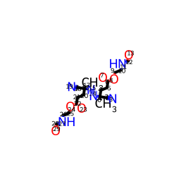 CC(C#N)(CCC(=O)OCCNC=O)/N=N/C(C)(C#N)CCC(=O)OCCNC=O